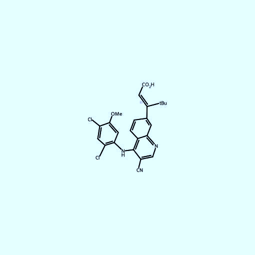 COc1cc(Nc2c(C#N)cnc3cc(/C(=C/C(=O)O)C(C)(C)C)ccc23)c(Cl)cc1Cl